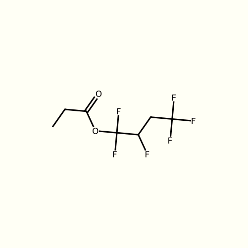 CCC(=O)OC(F)(F)C(F)CC(F)(F)F